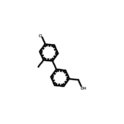 Cc1cc(Cl)ccc1-c1cccc(CO)c1